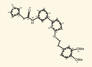 COc1ccc(CCOc2cccc(-c3cccc(NC(=O)Cc4ccsc4)c3)n2)cc1OC